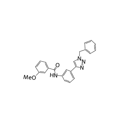 COc1cccc(C(=O)Nc2cccc(-c3cn(Cc4ccccc4)nn3)c2)c1